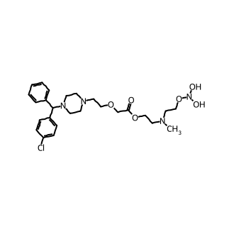 CN(CCOC(=O)COCCN1CCN(C(c2ccccc2)c2ccc(Cl)cc2)CC1)CCON(O)O